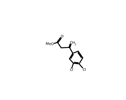 C=C(CC(=O)OC)c1ccc(Cl)c(Cl)c1